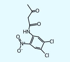 CC(=O)CC(=O)Nc1cc(Cl)c(Cl)cc1[N+](=O)[O-]